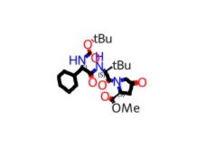 COC(=O)[C@@H]1CC(=O)CN1C(=O)[C@@H](NC(=O)[C@@H](NC(=O)OC(C)(C)C)C1CCCCC1)C(C)(C)C